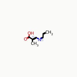 C=C/C=N\C=C(/C)C(=O)O